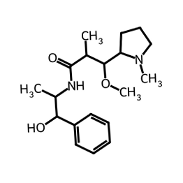 COC(C(C)C(=O)NC(C)C(O)c1ccccc1)C1CCCN1C